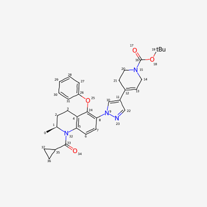 C[C@H]1CCc2c(ccc(-n3cc(C4=CCN(C(=O)OC(C)(C)C)CC4)cn3)c2Oc2ccccc2)N1C(=O)C1CC1